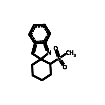 CS(=O)(=O)C1CCCCC12C=c1ccccc1=N2